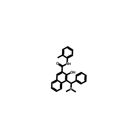 Cc1ccccc1NC(=O)c1cc2ccccc2c(C(c2ccccc2)N(C)C)c1O